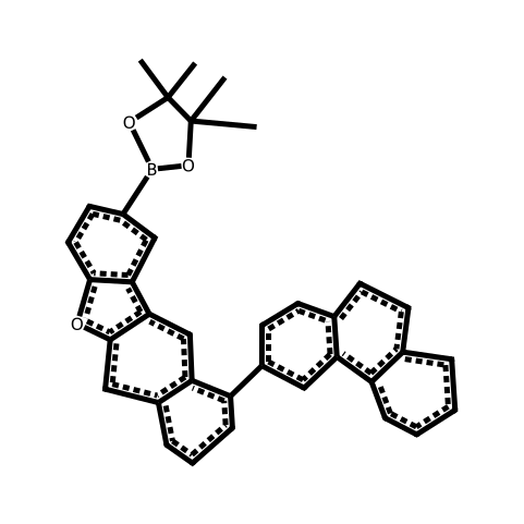 CC1(C)OB(c2ccc3oc4cc5cccc(-c6ccc7ccc8ccccc8c7c6)c5cc4c3c2)OC1(C)C